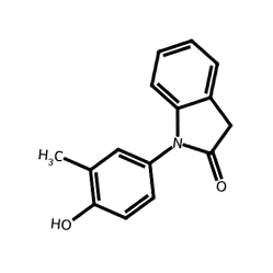 Cc1cc(N2C(=O)Cc3ccccc32)ccc1O